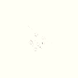 COc1ccccc1-c1nccc(COc2ccc(OCN3CCN(C)CC3)cc2C[C@@H](Oc2ncnc3sc(-c4ccc(F)cc4)c(-c4c(C)c(Cl)c(O)c(Cl)c4C)c23)C(=O)O)n1